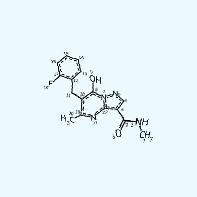 CNC(=O)c1cnn2c(O)c(Cc3ccccc3F)c(C)nc12